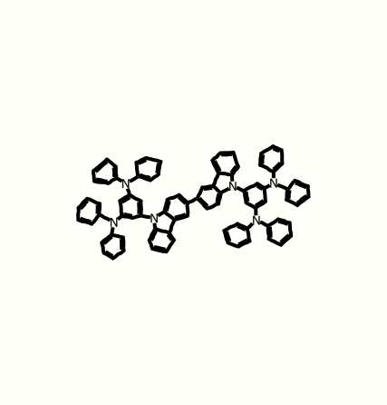 c1ccc(N(c2ccccc2)c2cc(N(c3ccccc3)c3ccccc3)cc(-n3c4ccccc4c4cc(-c5ccc6c(c5)c5ccccc5n6-c5cc(N(c6ccccc6)c6ccccc6)cc(N(c6ccccc6)c6ccccc6)c5)ccc43)c2)cc1